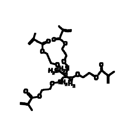 C=C(C)C(=O)OCCO[SiH2][Si]([SiH2]OCCOC(=O)C(=C)C)([SiH2]OCCOC(=O)C(=C)C)[SiH2]OCCOC(=O)C(=C)C